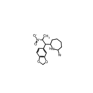 CC(C(c1ccc2c(c1)OCO2)C1CCCCC([N])N1)[N+](=O)[O-]